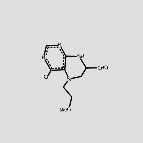 COCCN1CC(C=O)Nc2ncnc(Cl)c21